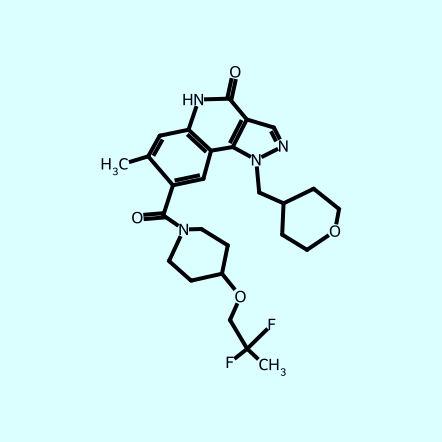 Cc1cc2[nH]c(=O)c3cnn(CC4CCOCC4)c3c2cc1C(=O)N1CCC(OCC(C)(F)F)CC1